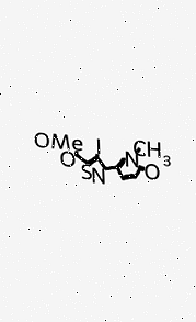 COC(=O)c1snc(-c2ccc(=O)n(C)c2)c1I